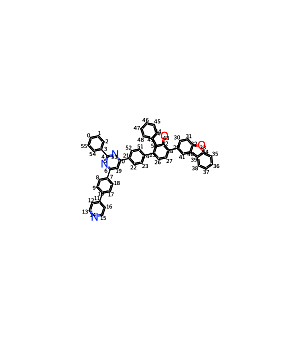 c1ccc(-c2nc(-c3ccc(-c4ccncc4)cc3)cc(-c3ccc(-c4ccc(-c5ccc6oc7ccccc7c6c5)c5oc6ccccc6c45)cc3)n2)cc1